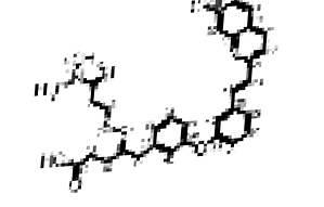 CN(C)C(=O)CCSSC(CCC(=O)O)Cc1cccc(Oc2cccc(C=Cc3ccc4ccc(Cl)cc4n3)c2)c1